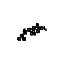 CCN(C(=O)c1ccc(-c2ccc(-c3nc(-c4ccc(Cl)c(Cl)c4)cs3)cc2C(=O)O)cc1)c1ccccc1